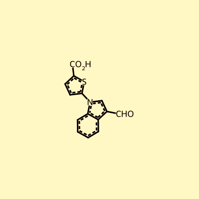 O=Cc1cn(-c2ccc(C(=O)O)s2)c2ccccc12